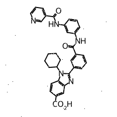 O=C(O)c1ccc2c(c1)nc(-c1cccc(C(=O)Nc3cccc(NC(=O)c4cccnc4)c3)c1)n2C1CCCCC1